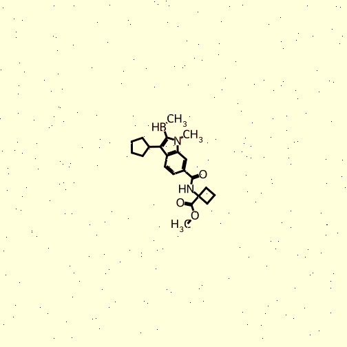 CBc1c(C2CCCC2)c2ccc(C(=O)NC3(C(=O)OC)CCC3)cc2n1C